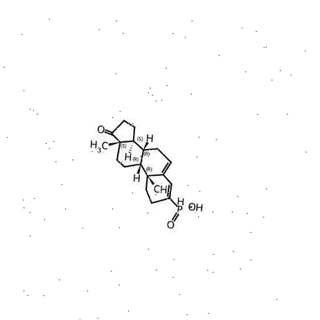 C[C@]12CCC([PH](=O)O)=CC1=CC[C@@H]1[C@H]2CC[C@]2(C)C(=O)CC[C@@H]12